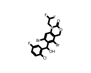 O=C1OCc2c(cc(Br)c(C(O)c3cc(F)ccc3Cl)c2Br)N1CC(F)F